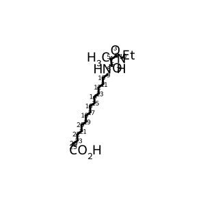 CCNC(=O)C(C)C(=O)NCCCCCCCCCCCCCCCCC(=O)O